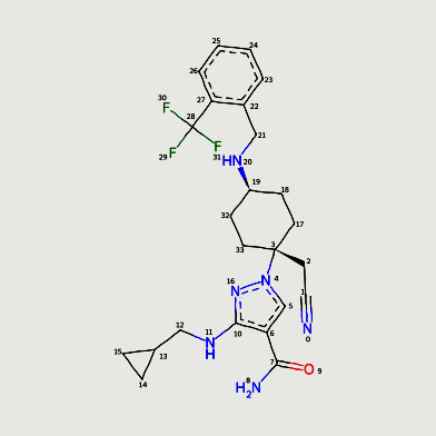 N#CC[C@]1(n2cc(C(N)=O)c(NCC3CC3)n2)CC[C@H](NCc2ccccc2C(F)(F)F)CC1